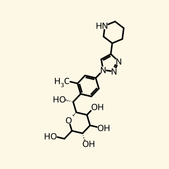 Cc1cc(-n2cc(C3CCCNC3)nn2)ccc1[C@@H](O)[C@H]1OC(CO)[C@@H](O)C(O)C1O